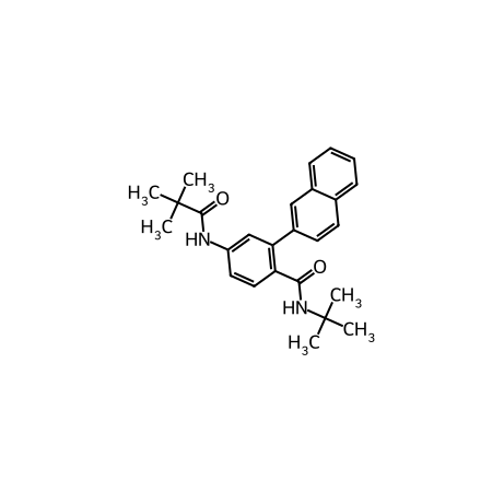 CC(C)(C)NC(=O)c1ccc(NC(=O)C(C)(C)C)cc1-c1ccc2ccccc2c1